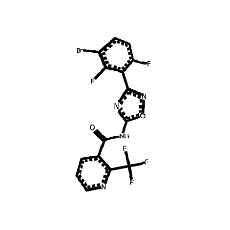 O=C(Nc1nc(-c2c(F)ccc(Br)c2F)no1)c1cccnc1C(F)(F)F